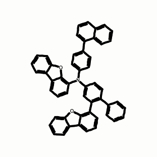 c1ccc(-c2ccc(N(c3ccc(-c4cccc5ccccc45)cc3)c3cccc4c3oc3ccccc34)cc2-c2cccc3c2oc2ccccc23)cc1